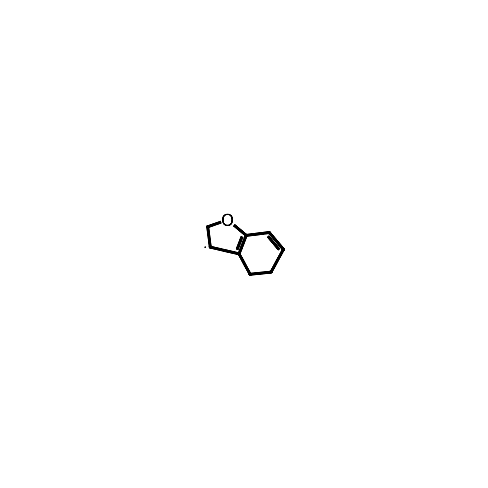 [CH]1COC2=C1CCC=C2